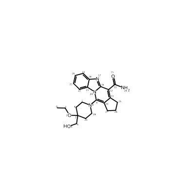 CCOC1(CO)CCN(c2c3c(c(C(N)=O)c4nc5ccccc5n24)CCC3)CC1